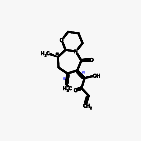 C=CC(=O)/C(O)=C1/C(=O)N2CCCOC2[C@H](C)C/C1=C/C